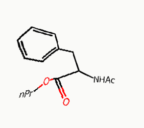 CCCOC(=O)C(Cc1ccccc1)NC(C)=O